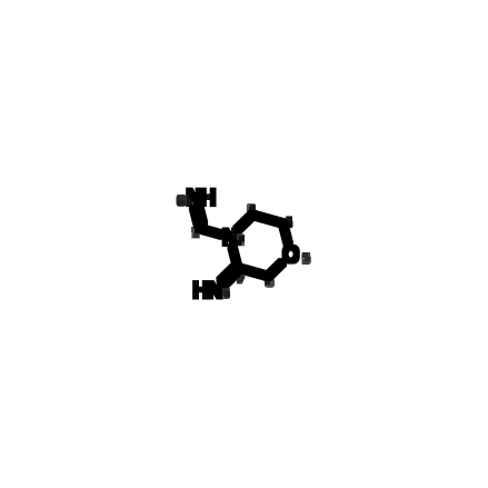 N=CN1CCOCC1=N